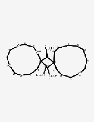 O=C(O)CC1(C(C(=O)O)C2(CC(=O)O)CCCCCCCCCCC2)CCCCCCCCCCC1